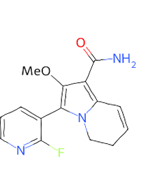 COc1c(C(N)=O)c2n(c1-c1cccnc1F)CCC=C2